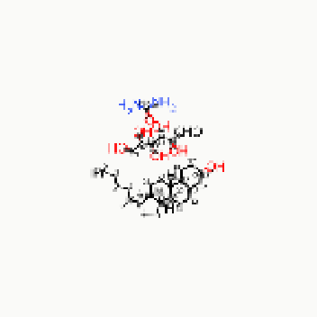 CC(C)CCC[C@@H](C)[C@H]1CC[C@H]2[C@@H]3CC=C4C[C@@H](O)CC[C@]4(C)[C@H]3CC[C@]12C.NC(N)=O.O=C[C@H](O)[C@@H](O)[C@H](O)[C@H](O)CO